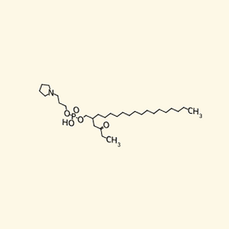 CCCCCCCCCCCCCCCCC(COP(=O)(O)OCCCN1CCCC1)CC(=O)CC